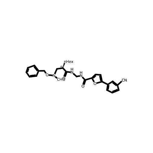 CCCCCC[C@H](CN(C=O)OCc1ccccc1)C(=O)NCNC(=O)c1ccc(-c2cccc(C#N)c2)o1